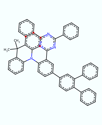 CC1(C)c2ccccc2N(c2ccc(-c3ccc(-c4ccccc4)c(-c4ccccc4)c3)cc2-c2nc(-c3ccccc3)nc(-c3ccccc3)n2)c2ccccc21